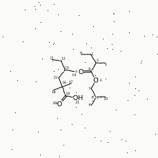 CCC(C)C(=O)OCC(C)C.CCC(C)CC(C)(C)C(=O)O